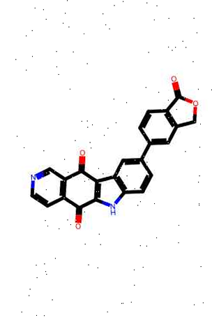 O=C1OCc2cc(-c3ccc4[nH]c5c(c4c3)C(=O)c3cnccc3C5=O)ccc21